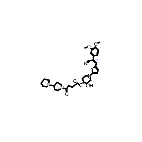 COc1ccc(/C(C#N)=C/c2ccc(N3CCC(OC(=O)CCC(=O)N4CCC(N5CCCCC5)CC4)CC3)s2)cc1OC.Cl